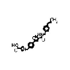 CCCc1ccc(CNC(=O)c2cc(-c3ccc(CN4CC(C(=O)O)C4)cc3)on2)cc1